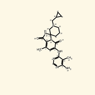 Cc1cc(Nc2ncnc(N)c2C)c(=O)n2c1C(=O)NC21CCCN(CC2CC2)C1